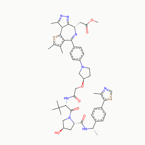 COC(=O)C[C@@H]1N=C(c2ccc(N3CC[C@@H](OCC(=O)N[C@H](C(=O)N4C[C@H](O)C[C@H]4C(=O)N[C@@H](C)c4ccc(-c5scnc5C)cc4)C(C)(C)C)C3)cc2)c2c(sc(C)c2C)C2C(C)=NN=C21